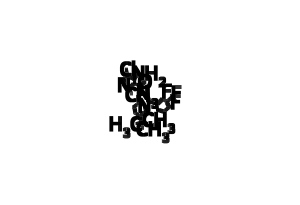 Cc1ncc(Cl)c(N)c1C(=O)N(CCc1cccc(C(F)(F)F)c1)Cc1ccc(C(C)(C)C)cn1